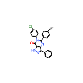 CC(C)c1ccc(-c2nc3c(-c4ccccc4)n[nH]c3c(=O)n2-c2ccc(Cl)cc2)cc1